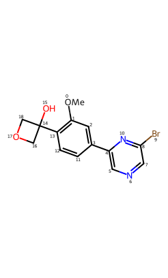 COc1cc(-c2cncc(Br)n2)ccc1C1(O)COC1